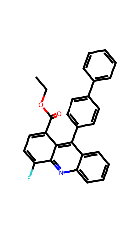 CCOC(=O)c1ccc(F)c2nc3ccccc3c(-c3ccc(-c4ccccc4)cc3)c12